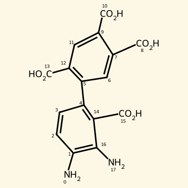 Nc1ccc(-c2cc(C(=O)O)c(C(=O)O)cc2C(=O)O)c(C(=O)O)c1N